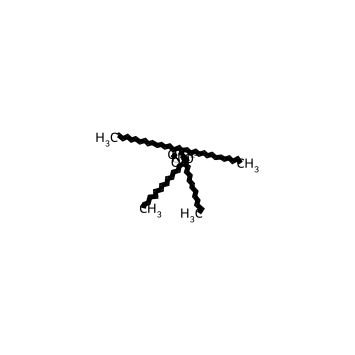 CCCCCCCCCCCCCCCCC(CCCCCCCCCCCCCC)C([N+](=O)[O-])=[N+]([O-])C(CCCCCCCCCCCC)CCCCCCCCCCCCCC